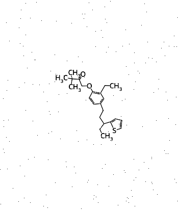 CCc1cc(CCC(CC)c2cccs2)ccc1OCC(=O)C(C)(C)C